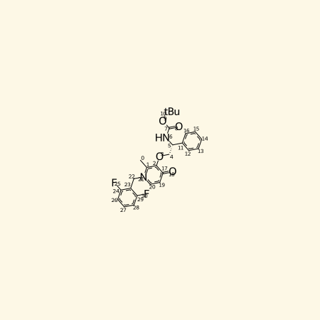 Cc1c(OC[C@H](NC(=O)OC(C)(C)C)c2ccccc2)c(=O)ccn1Cc1c(F)cccc1F